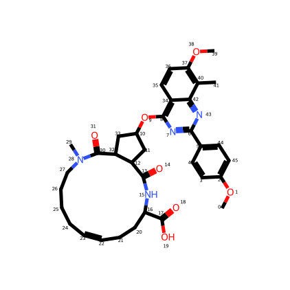 COc1ccc(-c2nc(OC3CC4C(=O)NC(C(=O)O)CCC=CCCCCN(C)C(=O)C4C3)c3ccc(OC)c(C)c3n2)cc1